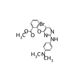 COC(=O)c1ccccc1Oc1nc(Nc2ccc(N(C)C)cc2)ncc1Br